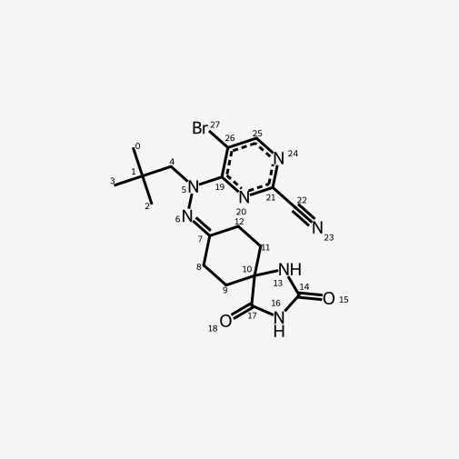 CC(C)(C)CN(N=C1CCC2(CC1)NC(=O)NC2=O)c1nc(C#N)ncc1Br